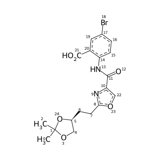 CC1(C)OC[C@H](CCc2nc(C(=O)Nc3ccc(Br)cc3C(=O)O)co2)O1